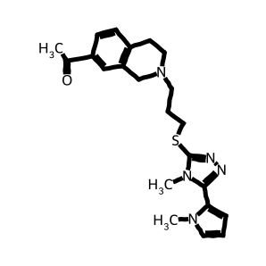 CC(=O)c1ccc2c(c1)CN(CCCSc1nnc(-c3cccn3C)n1C)CC2